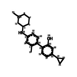 Cc1nc(NC2CCCN(C)C2)nnc1-c1ccc(C2CC2)cc1O